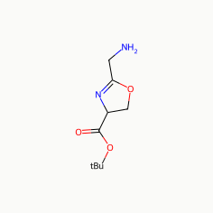 CC(C)(C)OC(=O)C1COC(CN)=N1